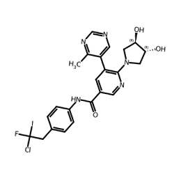 Cc1ncncc1-c1cc(C(=O)Nc2ccc(CC(F)(Cl)I)cc2)cnc1N1C[C@@H](O)[C@H](O)C1